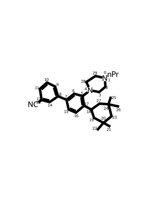 CCCN1CCN(c2cc(-c3cccc(C#N)c3)ccc2C2CC(C)(C)CC(C)(C)C2)CC1